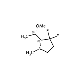 CO[C@@H](C)[C@H]1N(C)CCC1(F)F